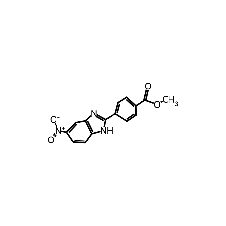 COC(=O)c1ccc(-c2nc3cc([N+](=O)[O-])ccc3[nH]2)cc1